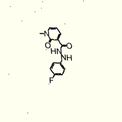 Cn1cccc(C(=O)NNc2ccc(F)cc2)c1=O